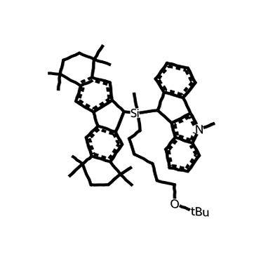 Cn1c2c(c3ccccc31)C([Si](C)(CCCCCCOC(C)(C)C)C1c3cc4c(cc3-c3cc5c(cc31)C(C)(C)CCC5(C)C)C(C)(C)CCC4(C)C)c1ccccc1-2